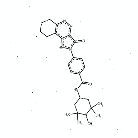 CN1C(C)(C)CC(NC(=O)c2ccc(-n3[nH]c4c5c(nnc4c3=O)CCCC5)cc2)CC1(C)C